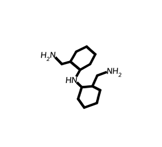 NCC1CCCCC1NC1CCCCC1CN